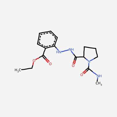 CCOC(=O)c1ccccc1NNC(=O)C1CCCN1C(=O)NC